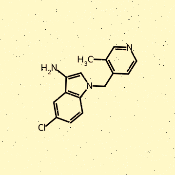 Cc1cnccc1Cn1cc(N)c2cc(Cl)ccc21